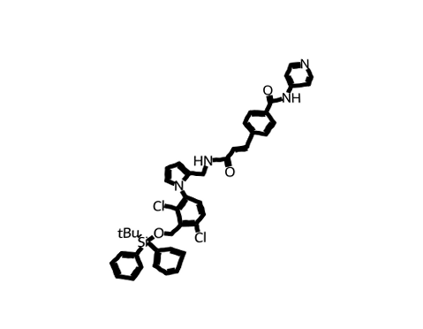 CC(C)(C)[Si](OCc1c(Cl)ccc(-n2cccc2CNC(=O)/C=C/c2ccc(C(=O)Nc3ccncc3)cc2)c1Cl)(c1ccccc1)c1ccccc1